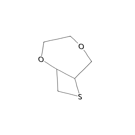 C1COC2CSC2CO1